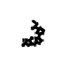 COC(=O)c1cccc(-c2csc(C=C3SC(=O)NC3=O)c2)c1